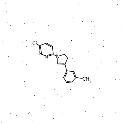 Cc1cccc(C2=CN(c3ccc(Cl)nn3)CC2)c1